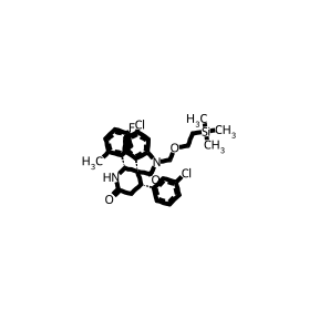 Cc1ccc(F)cc1[C@H]1NC(=O)C[C@@H](c2cccc(Cl)c2)[C@]12C(=O)N(COCC[Si](C)(C)C)c1cc(Cl)ccc12